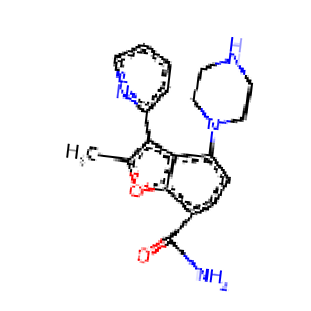 Cc1oc2c(C(N)=O)ccc(N3CCNCC3)c2c1-c1ccccn1